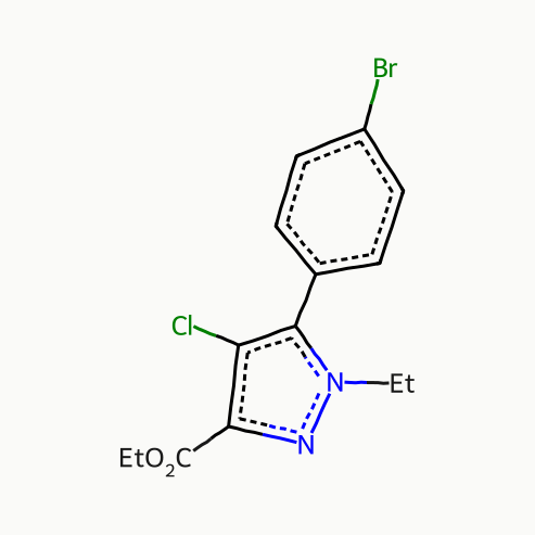 CCOC(=O)c1nn(CC)c(-c2ccc(Br)cc2)c1Cl